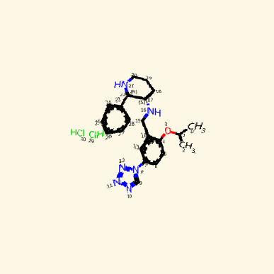 CC(C)Oc1ccc(-n2cnnn2)cc1CN[C@H]1CCCN[C@@H]1c1ccccc1.Cl.Cl